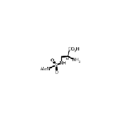 CNS(=O)(=O)NC[C@H](N)C(=O)O